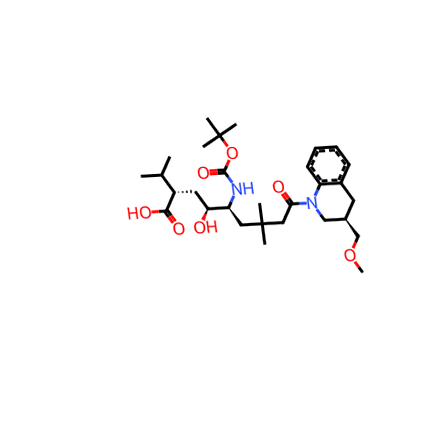 COC[C@@H]1Cc2ccccc2N(C(=O)CC(C)(C)C[C@H](NC(=O)OC(C)(C)C)[C@@H](O)C[C@H](C(=O)O)C(C)C)C1